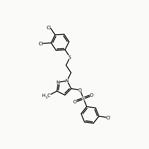 Cc1cc(OS(=O)(=O)c2cccc(Cl)c2)n(CCSc2ccc(Cl)c(Cl)c2)n1